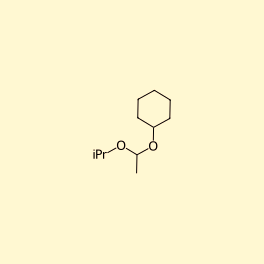 CC(C)OC(C)OC1CCCCC1